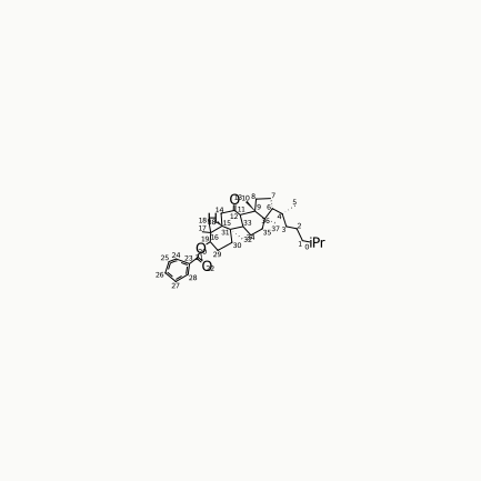 CC(C)CCC[C@@H](C)[C@H]1CC[C@@]2(C)C3C(=O)C[C@H]4C(C)(C)C(OC(=O)c5ccccc5)CC[C@]4(C)C3CC[C@]12C